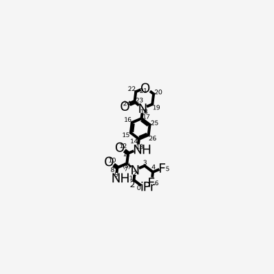 CC(C)CN(CC(F)F)[C@@H](C(N)=O)C(=O)Nc1ccc(N2CCOCC2=O)cc1